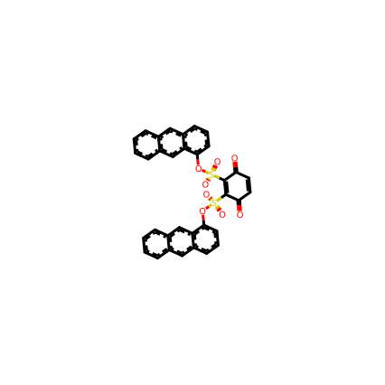 O=C1C=CC(=O)C(S(=O)(=O)Oc2cccc3cc4ccccc4cc23)=C1S(=O)(=O)Oc1cccc2cc3ccccc3cc12